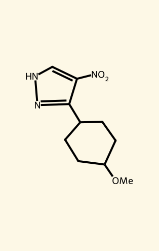 COC1CCC(c2n[nH]cc2[N+](=O)[O-])CC1